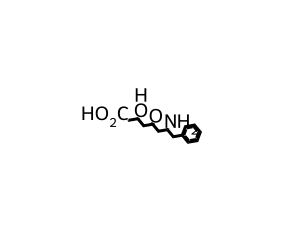 NC(CC(=O)CC(O)CC(=O)O)Cc1ccccc1